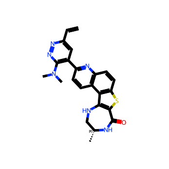 C=Cc1cc(-c2ccc3c(ccc4sc5c(c43)NC[C@@H](C)NC5=O)n2)c(N(C)C)nn1